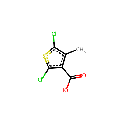 Cc1c(Cl)sc(Cl)c1C(=O)O